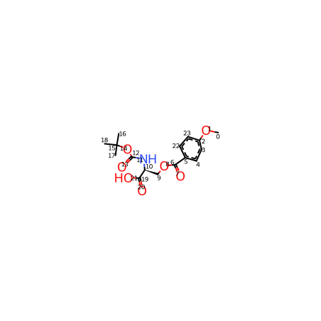 COc1ccc(C(=O)OC[C@H](NC(=O)OC(C)(C)C)C(=O)O)cc1